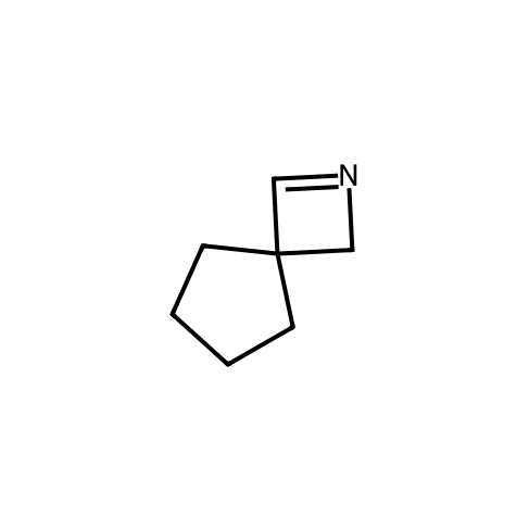 C1=NCC12CCCC2